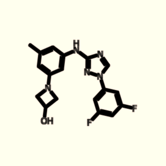 Cc1cc(Nc2ncn(-c3cc(F)cc(F)c3)n2)cc(N2CC(O)C2)c1